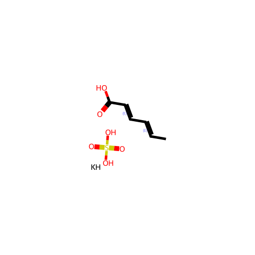 C/C=C/C=C/C(=O)O.O=S(=O)(O)O.[KH]